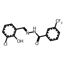 O=C(NN=Cc1cccc(Cl)c1O)c1cccc(C(F)(F)F)c1